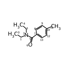 CCN(CC)C(=O)c1ccc(C)cc1